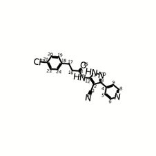 N#Cc1c(-c2ccncc2)n[nH]c1NC(=O)CCc1ccc(Cl)cc1